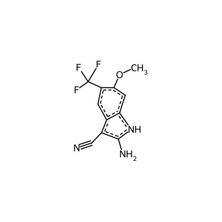 COc1cc2[nH]c(N)c(C#N)c2cc1C(F)(F)F